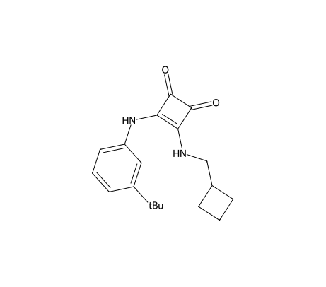 CC(C)(C)c1cccc(Nc2c(NCC3CCC3)c(=O)c2=O)c1